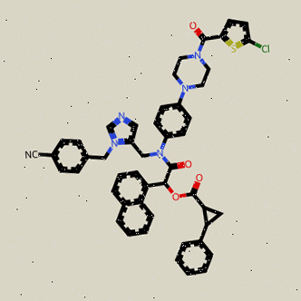 N#Cc1ccc(Cn2cncc2CN(C(=O)C(OC(=O)C2CC2c2ccccc2)c2cccc3ccccc23)c2ccc(N3CCN(C(=O)c4ccc(Cl)s4)CC3)cc2)cc1